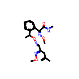 C=C(C)CC(C=NOC(C)c1ccccc1C(=NOC)C(=O)NC)=NOC